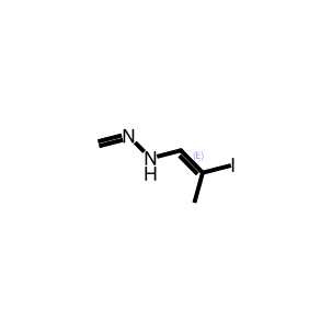 C=NN/C=C(\C)I